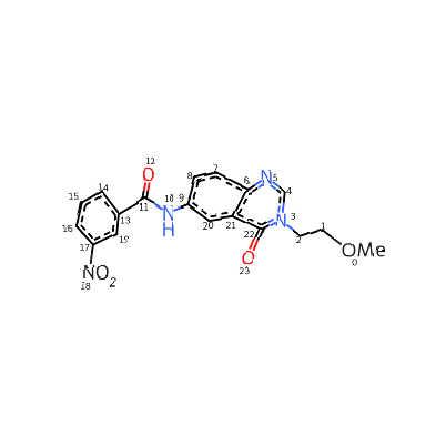 COCCn1cnc2ccc(NC(=O)c3cccc([N+](=O)[O-])c3)cc2c1=O